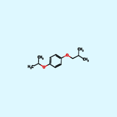 CC(C)COc1ccc(OC(C)C)cc1